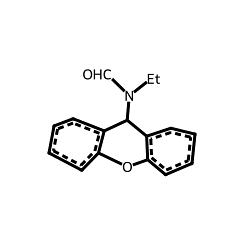 [CH2]CN(C=O)C1c2ccccc2Oc2ccccc21